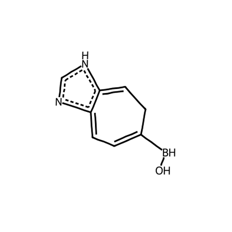 OBC1=CC=c2nc[nH]c2=CC1